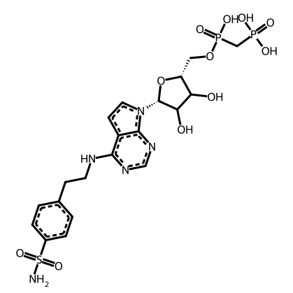 NS(=O)(=O)c1ccc(CCNc2ncnc3c2ccn3[C@@H]2O[C@H](COP(=O)(O)CP(=O)(O)O)C(O)C2O)cc1